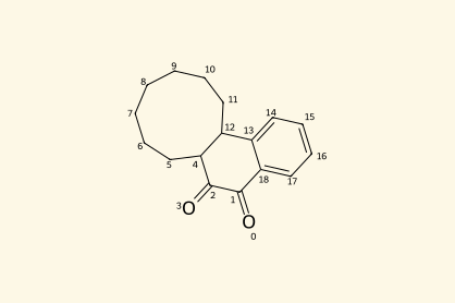 O=C1C(=O)C2CCCCCCCC2c2ccccc21